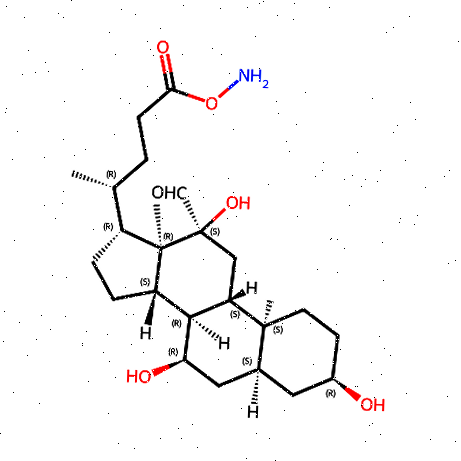 C[C@H](CCC(=O)ON)[C@H]1CC[C@H]2[C@@H]3[C@H](O)C[C@@H]4C[C@H](O)CC[C@]4(C)[C@H]3C[C@@](O)(C=O)[C@]12C